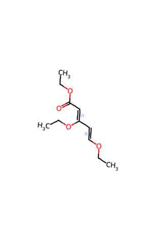 CCO/C=C/C(=C/C(=O)OCC)OCC